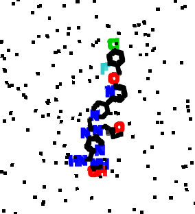 N=C(NO)c1cc2nc(CN3CCC(c4cccc(OCc5ccc(Cl)cc5F)n4)CC3)n(C[C@@H]3CCO3)c2cn1